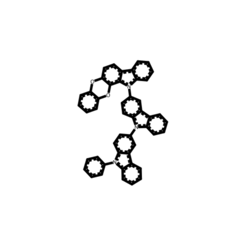 c1ccc(-n2c3ccccc3c3cc(-n4c5ccccc5c5cc(-n6c7ccccc7c7ccc8c(c76)Oc6ccccc6O8)ccc54)ccc32)cc1